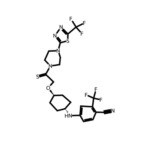 N#Cc1ccc(N[C@H]2CC[C@H](OCC(=S)N3CCN(c4nnc(C(F)(F)F)s4)CC3)CC2)cc1C(F)(F)F